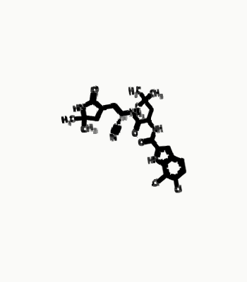 CC(C)(C)CC(NC(=O)c1cc2ccc(Cl)c(Cl)c2[nH]1)C(=O)N[C@H](C#N)CC1CC(C)(C)NC1=O